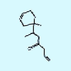 C=CCC(=O)CC(C)C1(C)CC=CCC1